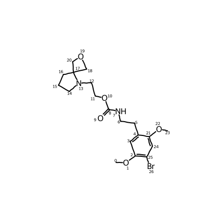 COc1cc(CCNC(=O)OCCN2CCCC23COC3)c(OC)cc1Br